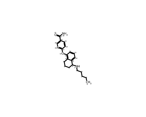 CCCCCNC1CCCc2c(Oc3ccc(C(N)=O)cn3)cccc21